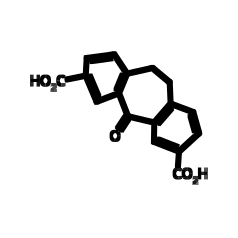 O=C(O)c1ccc2c(c1)C(=O)c1cc(C(=O)O)ccc1CC2